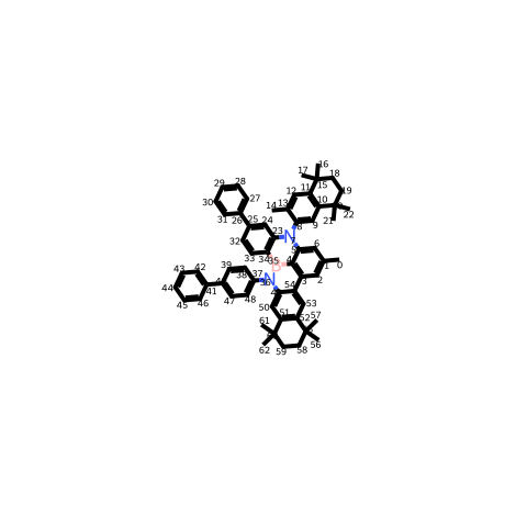 Cc1cc2c3c(c1)N(c1cc4c(cc1C)C(C)(C)CCC4(C)C)c1cc(-c4ccccc4)ccc1B3N(c1ccc(-c3ccccc3)cc1)c1cc3c(cc1-2)C(C)(C)CCC3(C)C